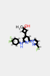 CC1(O)CC(c2cc(NC3CCC(F)(F)CC3)nc(-n3ccc(CF)n3)c2)C1